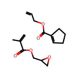 C=C(C)C(=O)OCC1CO1.C=CCOC(=O)C1=CCCC1